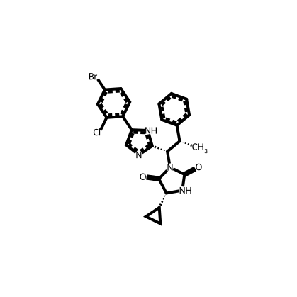 C[C@@H](c1ccccc1)[C@@H](c1ncc(-c2ccc(Br)cc2Cl)[nH]1)N1C(=O)N[C@H](C2CC2)C1=O